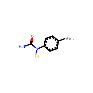 CCCCCc1ccc(N(S)C(N)=O)cc1